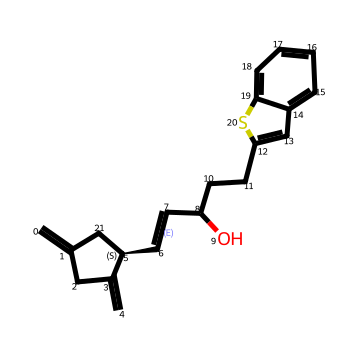 C=C1CC(=C)[C@H](/C=C/C(O)CCc2cc3ccccc3s2)C1